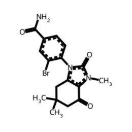 Cn1c2c(n(-c3ccc(C(N)=O)cc3Br)c1=O)CC(C)(C)CC2=O